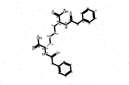 O=C(Cc1ccccc1)N[C@@H](CSSC[C@H](NC(=O)Cc1ccccc1)C(=O)O)C(=O)O